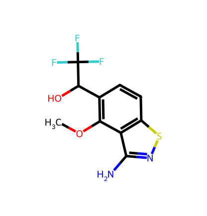 COc1c(C(O)C(F)(F)F)ccc2snc(N)c12